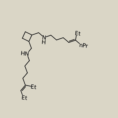 CC/C=C(\CC)CCCCNCC1CCC1CNCCC/C=C(\CC)CCC